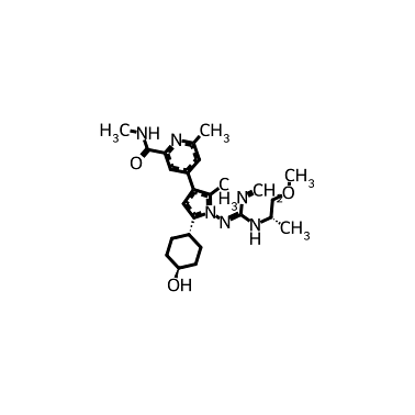 C=N/C(=N\n1c(C)c(-c2cc(C)nc(C(=O)NC)c2)cc1[C@H]1CC[C@H](O)CC1)N[C@@H](C)COC